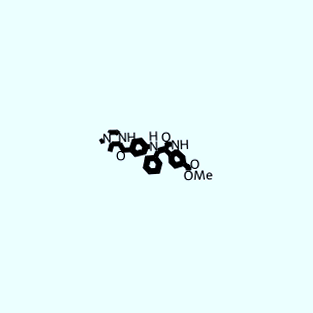 COC(=O)c1ccc2c(c1)NC(=O)/C2=C(\Nc1ccc(C(=O)C2NCCN(C)C2C)cc1)c1ccccc1